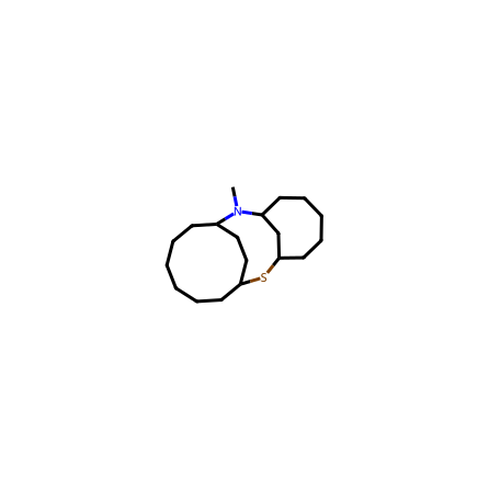 CN1C2CCCCCCC(CC2)SC2CCCCCC1C2